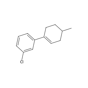 CC1CC=C(c2cccc(Cl)c2)CC1